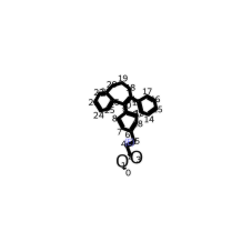 COC(=O)/C=C/c1ccc(C2=C(c3ccccc3)CCCc3ccccc32)cc1